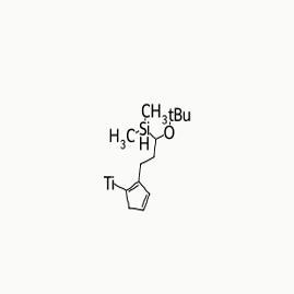 C[SiH](C)C(CCC1=[C]([Ti])CC=C1)OC(C)(C)C